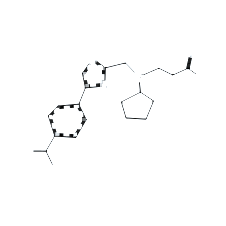 CC(C)c1ccc(-c2csc(CN(CCC(=O)O)C3CCCC3)n2)cc1.Cl